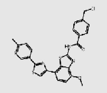 COc1ccc(-c2csc(-c3ccc(C)nc3)n2)c2sc(NC(=O)c3ccc(CCl)cc3)nc12